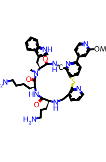 COc1cc(-c2ccc3c(n2)CNC(=O)[C@H](Cc2c[nH]c4ccccc24)N(C)C(=O)[C@H](CCCCN)NC(=O)[C@H](CCCN)NCc2cccnc2S3)ccn1